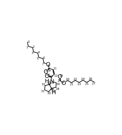 CCCCCCCCOC(=O)/C=C\C(=O)N1[C@H](C(=O)OCCCCCCCC)C[C@@H]2CCC[C@@H]21